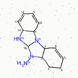 NN1C2CCC=CC2N2C3C=CC=CC3NC12